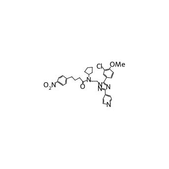 COc1ccc(-c2nc(-c3ccncc3)nn2CCN(C(=O)CCCc2ccc([N+](=O)[O-])cc2)C2CCCC2)cc1Cl